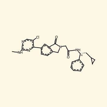 CNc1ncc(Cl)c(-c2ccc3c(c2)C(=O)N(CC(=O)N[C@H](CC2CC2)c2ccccc2)C3)n1